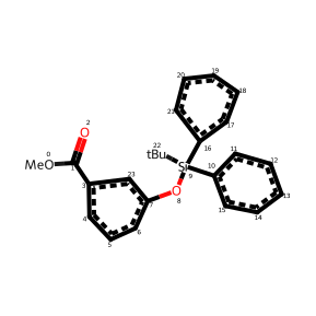 COC(=O)c1cccc(O[Si](c2ccccc2)(c2ccccc2)C(C)(C)C)c1